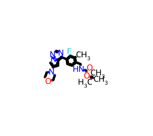 Cc1c(CNC(=O)OC(C)(C)C)ccc(-c2ncnn3cc(N4CCOCC4)cc23)c1F